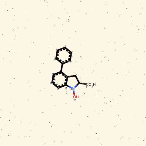 O=C(O)C1Cc2c(-c3ccccc3)cccc2N1O